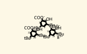 CC(C)(C)c1cc(C(=O)[O-])c(O)c(C(C)(C)C)c1.CC(C)(C)c1cc(C(=O)[O-])c(O)c(C(C)(C)C)c1.CC(C)(C)c1cc(C(=O)[O-])c(O)c(C(C)(C)C)c1.[Y+3]